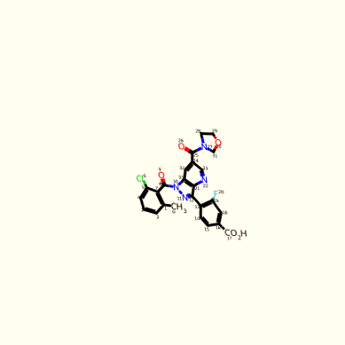 Cc1cccc(Cl)c1C(=O)n1nc(-c2ccc(C(=O)O)cc2F)c2ncc(C(=O)N3CCOC3)cc21